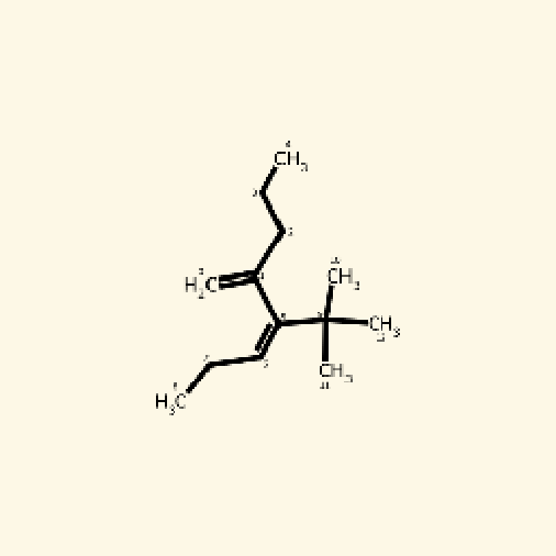 C=C(CCC)/C(=C\CC)C(C)(C)C